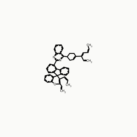 C=CC1=C(/C=C\C)C2(c3ccccc3O1)c1ccccc1-c1c(-c3nc(C4CC=C(/C(C=C)=C/C=C\C)CC4)c4ccccc4n3)cccc12